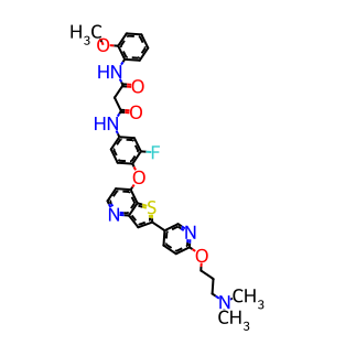 COc1ccccc1NC(=O)CC(=O)Nc1ccc(Oc2ccnc3cc(-c4ccc(OCCCN(C)C)nc4)sc23)c(F)c1